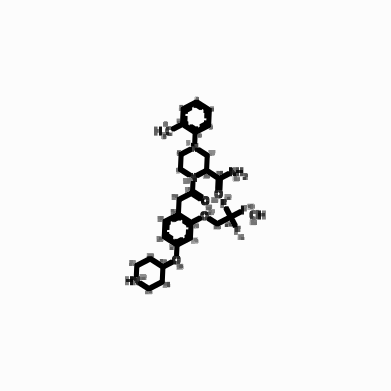 Cc1ccccc1N1CCN(C(=O)Cc2ccc(OC3CCNCC3)cc2OCC(F)(F)F)C(C(N)=O)C1.Cl